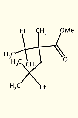 CCC(C)(C)CC(C)(C(=O)OC)C(C)(C)CC